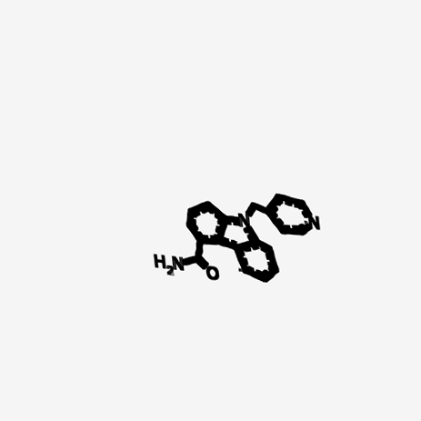 NC(=O)c1cccc2c1c1[c]cccc1n2Cc1ccncc1